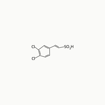 O=S(=O)(O)C=Cc1ccc(Cl)c(Cl)c1